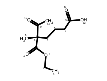 CCOC(=O)[C@@](C)(CCCC(=O)O)C(C)=O